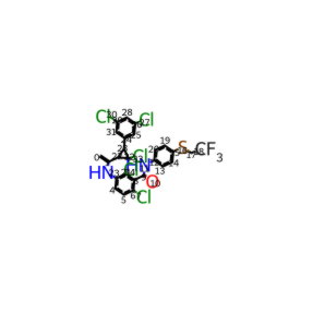 C=C(Nc1ccc(Cl)c(C(=O)Nc2ccc(SCC(F)(F)F)cc2)c1)C1C(c2cc(Cl)cc(Cl)c2)C1(Cl)Cl